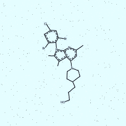 Cc1cc(N2CCC(CCCO)CC2)c2c(C)c(C)n(-c3c(Br)cc(Cl)cc3Br)c2n1